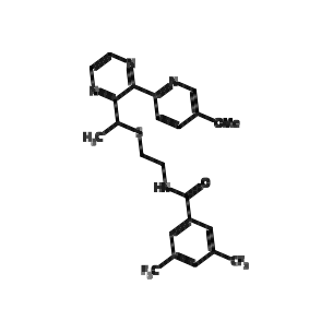 COc1ccc(-c2nccnc2C(C)SCCNC(=O)c2cc(C(F)(F)F)cc(C(F)(F)F)c2)nc1